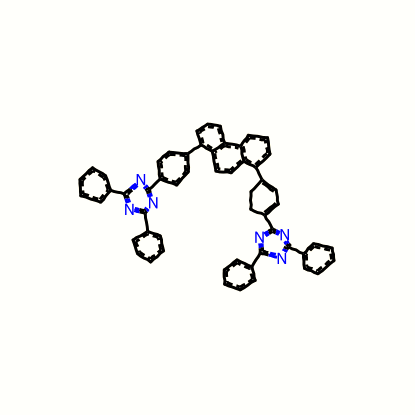 C1=C(c2nc(-c3ccccc3)nc(-c3ccccc3)n2)CCC(c2cccc3c2ccc2c(-c4ccc(-c5nc(-c6ccccc6)nc(-c6ccccc6)n5)cc4)cccc23)=C1